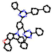 c1ccc(-c2ccc(-c3nc(-c4ccccc4)nc(-c4ccc(-n5c6ccccc6c6c7c(ccc65)oc5ccccc57)c(-c5nc(-c6ccccc6)nc(-c6ccccc6)n5)c4)n3)cc2)cc1